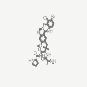 CN[C@@H](C)C(=O)N[C@H](C(=O)NC(=O)[C@@H]1CCCN1)C(C)(C)Cc1cc2c(Nc3ccc(Br)c(Cl)c3F)ncnc2cc1OC